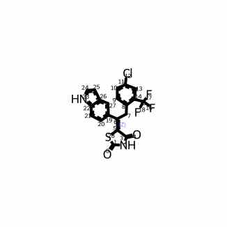 O=C1NC(=O)/C(=C(\Cc2ccc(Cl)cc2C(F)(F)F)c2ccc3[nH]ccc3c2)S1